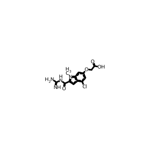 Cn1c(C(=O)NC(=N)N)cc2c(Cl)cc(OCC(=O)O)cc21